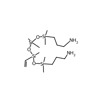 C=C[Si](C)(O[Si](C)(C)CCCN)O[Si](C)(C)O[Si](C)(C)CCCN